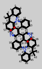 CC1(C)c2ccccc2N(c2ccccc2-c2ccncc2-c2cnccc2-c2ccccc2N2c3ccccc3C(C)(C)c3ccccc32)c2ccccc21